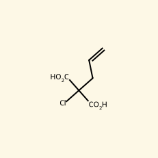 C=CCC(Cl)(C(=O)O)C(=O)O